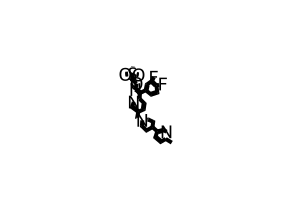 Cc1ccc(C2CCN(Cc3ccc(/C(=N/OCS(C)(=O)=O)c4ccc(F)c(F)c4)nc3)CC2)cn1